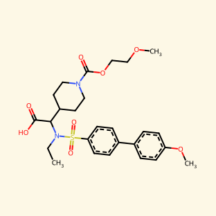 CCN(C(C(=O)O)C1CCN(C(=O)OCCOC)CC1)S(=O)(=O)c1ccc(-c2ccc(OC)cc2)cc1